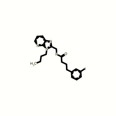 CCCCn1c(C[N]C(=O)CCCc2cccc(I)c2)nc2cccnc21